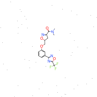 CN(C)C(=O)C1=NOC(COc2cccc(-c3noc(C(F)(F)F)n3)c2)C1